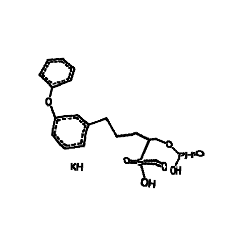 O=[PH](O)OC(CCCc1cccc(Oc2ccccc2)c1)S(=O)(=O)O.[KH]